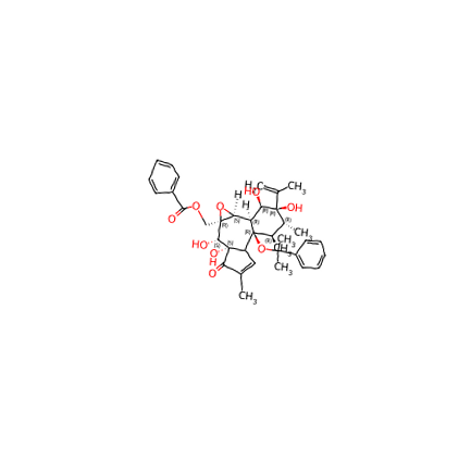 C=C(C)[C@]1(O)[C@H](C)[C@@H](C)[C@]2(OC(C)(C)c3ccccc3)C3C=C(C)C(=O)[C@@]3(O)[C@H](O)[C@@]3(COC(=O)c4ccccc4)O[C@H]3[C@H]2[C@H]1O